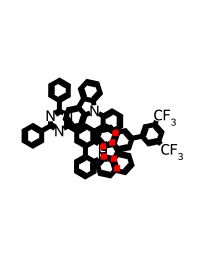 FC(F)(F)c1cc(-c2ccc3c(c2)c2ccccc2n3-c2c(-c3ccccc3-n3c4ccccc4c4ccccc43)cc(-c3nc(-c4ccccc4)nc(-c4ccccc4)n3)cc2-c2ccccc2-n2c3ccccc3c3ccccc32)cc(C(F)(F)F)c1